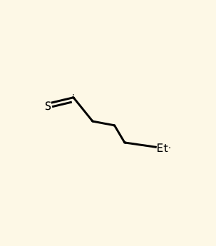 C[CH]CCC[C]=S